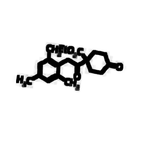 CCOC(=O)C1(C(=O)Cc2c(C)cc(C)cc2C)CCC(=O)CC1